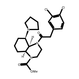 COC(=O)N1CCN(C(=O)Cc2ccc(Cl)c(Cl)c2)[C@@H]2[C@H](N3CCCC3)CCC[C@@H]21